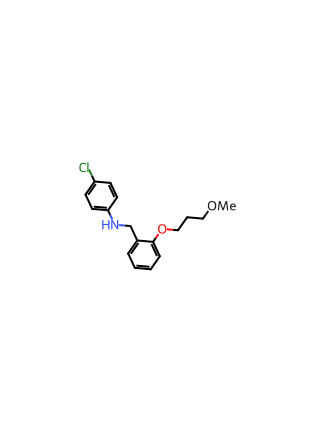 COCCCOc1ccccc1CNc1ccc(Cl)cc1